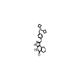 Cn1nc(Cc2ccc(CN(C3CCC3)C3CCC3)cc2)c2c3c(c(=O)[nH]c21)CCCC3